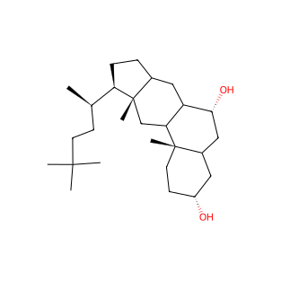 C[C@H](CCC(C)(C)C)[C@H]1CCC2CC3C(C[C@@]21C)[C@@]1(C)CC[C@@H](O)CC1C[C@H]3O